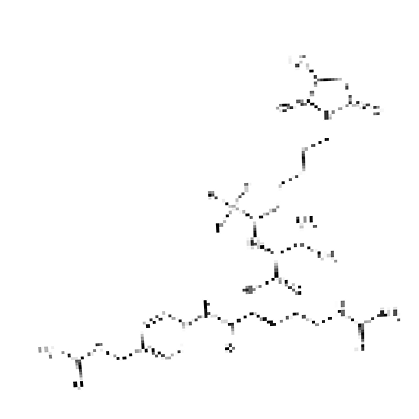 CC(=O)OCc1ccc(NC(=O)[C@H](CCCNC(N)=O)NC(=O)[C@@H](NC(CCCCCN2C(=O)CC(C)C2=O)C(F)(F)F)C(C)C)cc1